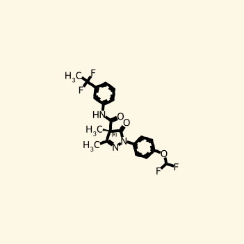 CC1=NN(c2ccc(OC(F)F)cc2)C(=O)[C@@]1(C)C(=O)Nc1cccc(C(C)(F)F)c1